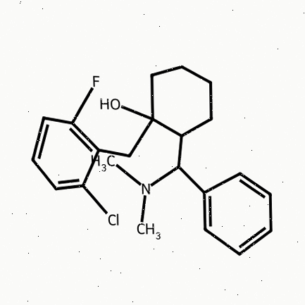 CN(C)C(c1ccccc1)C1CCCCC1(O)Cc1c(F)cccc1Cl